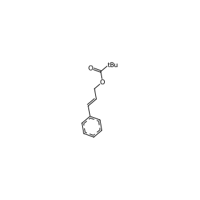 CC(C)(C)C(=O)OCC=Cc1ccccc1